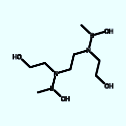 CB(O)N(CCO)CCN(CCO)B(C)O